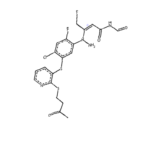 CC(=O)CCSc1ncccc1Sc1cc(N(N)/C(=C\C(=O)NC=O)CF)c(F)cc1Cl